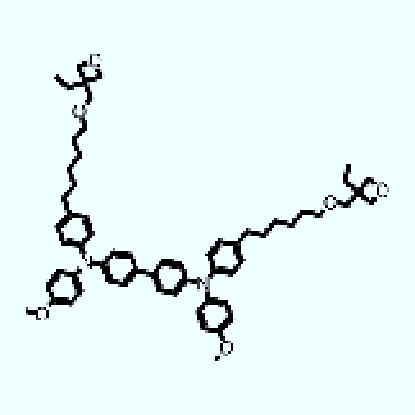 CCC1(COCCCCCCc2ccc(N(c3ccc(OC)cc3)c3ccc(-c4ccc(N(c5ccc(CCCCCCOCC6(CC)COC6)cc5)c5ccc(OC)cc5)cc4)cc3)cc2)COC1